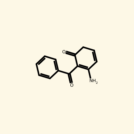 NC1=C(C(=O)c2ccccc2)C(=O)CC=C1